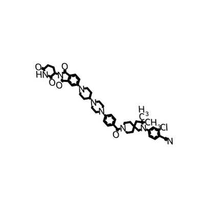 CC1(C)CC2(CCN(C(=O)c3ccc(N4CCN(C5CCN(c6ccc7c(c6)C(=O)N(C6CCC(=O)NC6=O)C7=O)CC5)CC4)cc3)CC2)CN1c1ccc(C#N)c(Cl)c1